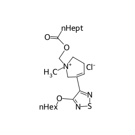 CCCCCCCC(=O)OC[N+]1(C)CCC=C(c2nsnc2OCCCCCC)C1.[Cl-]